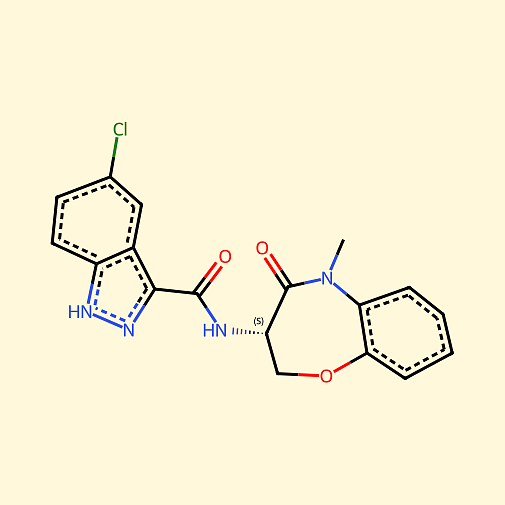 CN1C(=O)[C@@H](NC(=O)c2n[nH]c3ccc(Cl)cc23)COc2ccccc21